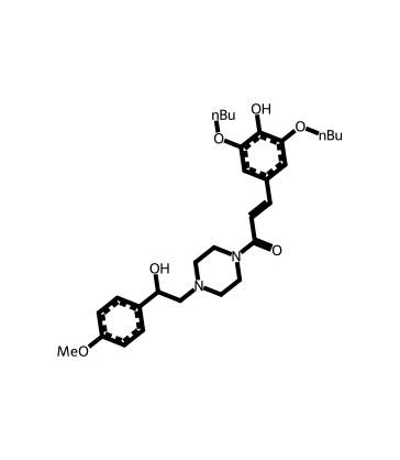 CCCCOc1cc(C=CC(=O)N2CCN(CC(O)c3ccc(OC)cc3)CC2)cc(OCCCC)c1O